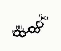 CCC(=O)N1CCC2(CCc3cc(-c4ccc5ccnc(N)c5c4)ccc32)CC1